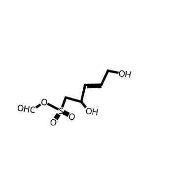 O=COS(=O)(=O)CC(O)C=CCO